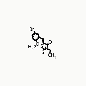 CCN1C(=O)C(=Cc2cc(Br)ccc2OC)SC1=S